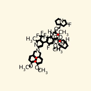 COc1ccc(CN(Cc2ccc(OC)cc2)c2cc(-c3c(F)c(OC)c4c(N5C[C@H]6CC[C@@H](C5)N6C(=O)OC(C)(C)C)nc(OC[C@@]56CCCN5C[C@H](F)C6)nc4c3F)c(C(F)(F)F)c(C)n2)cc1